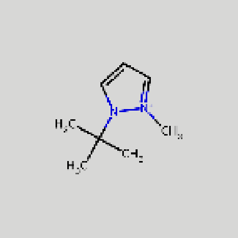 C[n+]1cccn1C(C)(C)C